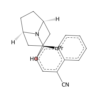 CCC[C@@]1(O)C[C@H]2CC[C@@H](C1)N2c1ccc(C#N)c2ccccc12